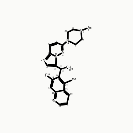 CC(=O)N1CCN(c2ccc3ncc([C@@H](C)c4c(F)cc5ncccc5c4F)n3n2)CC1